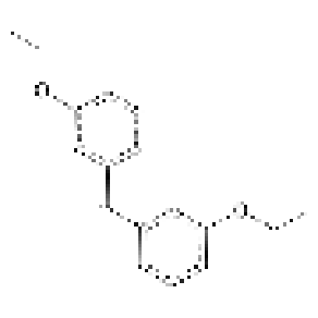 CCOc1cccc([CH]c2cccc(OCC)c2)c1